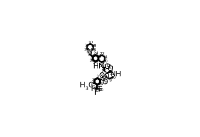 Cc1ccc(S(=O)(=O)N2CCNC(=O)[C@H]2CC(=O)N[C@@H]2CCCc3cc(CN4CCCCC4)ccc32)cc1C(F)(F)F